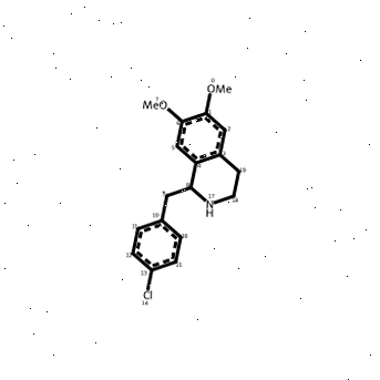 COc1cc2c(cc1OC)C(Cc1ccc(Cl)cc1)NCC2